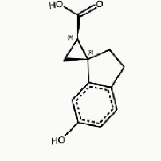 O=C(O)[C@@H]1C[C@]12CCc1ccc(O)cc12